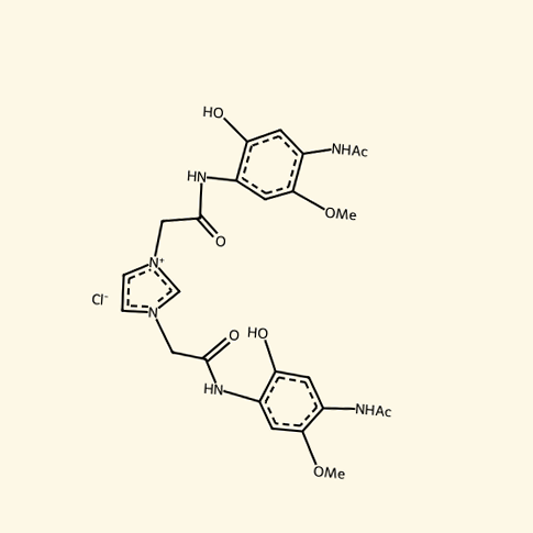 COc1cc(NC(=O)Cn2cc[n+](CC(=O)Nc3cc(OC)c(NC(C)=O)cc3O)c2)c(O)cc1NC(C)=O.[Cl-]